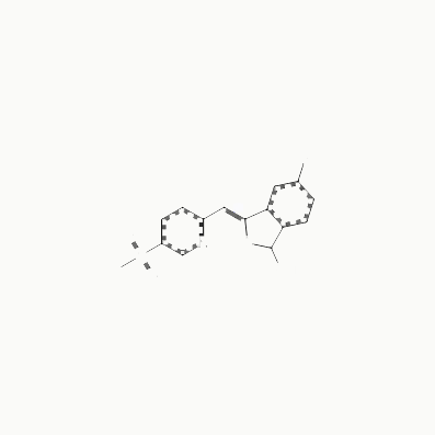 CS(=O)(=O)c1ccc(/C=C2\OC(O)c3ccc(Br)cc32)nc1